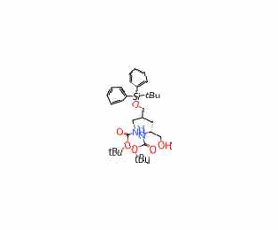 CC(C)(C)OC(=O)NCC(CO[Si](c1ccccc1)(c1ccccc1)C(C)(C)C)C[C@H](CO)NC(=O)OC(C)(C)C